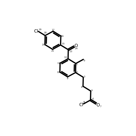 Cc1c(CCCC(=O)Cl)cccc1C(=O)c1ccc(Cl)cc1